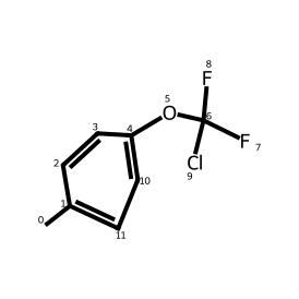 Cc1ccc(OC(F)(F)Cl)cc1